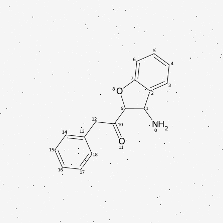 NC1c2ccccc2OC1C(=O)Cc1ccccc1